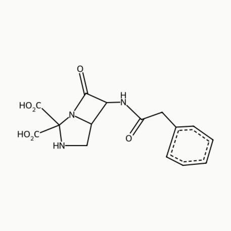 O=C(Cc1ccccc1)NC1C(=O)N2C1CNC2(C(=O)O)C(=O)O